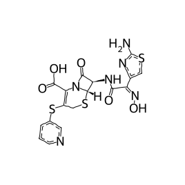 Nc1nc(/C(=N/O)C(=O)N[C@@H]2C(=O)N3C(C(=O)O)=C(Sc4cccnc4)CS[C@@H]23)cs1